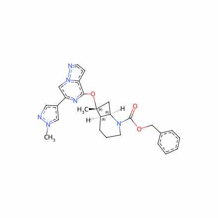 Cn1cc(-c2cn3nccc3c(O[C@]3(C)C[C@@H]4[C@H]3CCCN4C(=O)OCc3ccccc3)n2)cn1